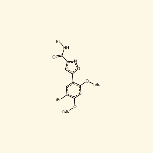 CCCCOc1cc(OCCCC)c(C(C)C)cc1-c1cc(C(=O)NCC)no1